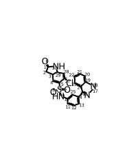 O=C1CC2C=C(S(=O)(=O)Nc3cccc(-c4ncnc5ccccc45)c3)C(Cl)=CC2N1